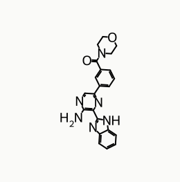 Nc1ncc(-c2cccc(C(=O)N3CCOCC3)c2)nc1-c1nc2ccccc2[nH]1